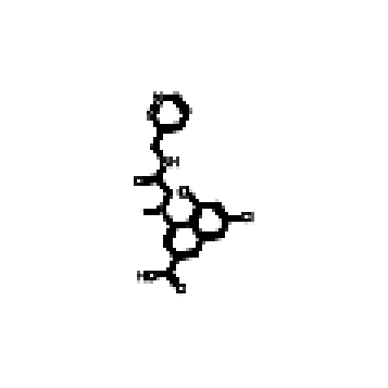 CN(CC(=O)NCc1cccnn1)c1cc(C(=O)O)cc2cc(Cl)cc(Cl)c12